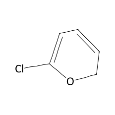 ClC1=CC=CCO1